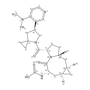 CN(C)c1ccncc1[C@H]1CN(C(=O)[C@@H]2CC[C@@H]3C[C@H]4C[C@H]4C[C@H](NC(=O)O)C(=O)N32)C2(CC2)C1